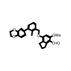 COc1cc(OCc2cccc(-c3ccc4c(c3)OCCO4)c2C)c2c(c1C=O)CCC2